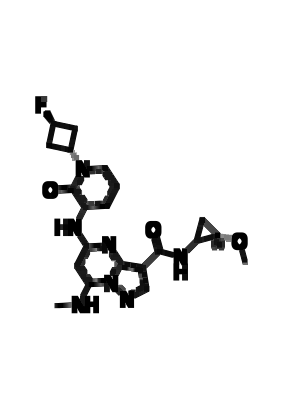 CNc1cc(Nc2cccn([C@H]3C[C@H](F)C3)c2=O)nc2c(C(=O)NC3C[C@@H]3OC)cnn12